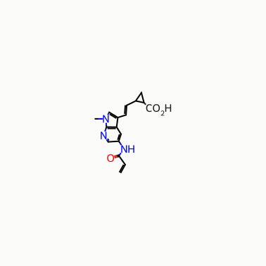 C=CC(=O)Nc1cnc2c(c1)c(C=CC1CC1C(=O)O)cn2C